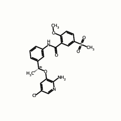 COc1ccc(S(C)(=O)=O)cc1C(=O)Nc1cccc([C@@H](C)Oc2cc(Cl)cnc2N)c1